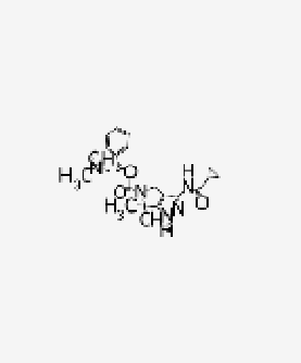 CN(C)C[C@@H](OC(=O)N1Cc2c(NC(=O)C3CC3)n[nH]c2C1(C)C)c1ccccc1